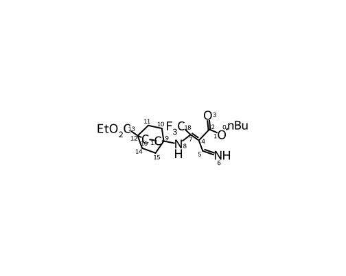 CCCCOC(=O)/C(C=N)=C(/NC12CCC(C(=O)OCC)(CC1)CC2)C(F)(F)F